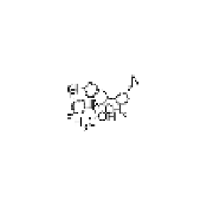 CC(O)C(N[C@@H](C)[C@@H](Cc1ccc(Cl)cc1)c1cccc(C#N)c1)c1cc(F)cc(F)c1